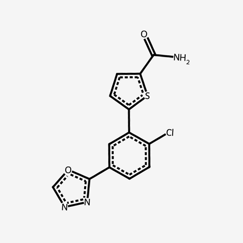 NC(=O)c1ccc(-c2cc(-c3nnco3)ccc2Cl)s1